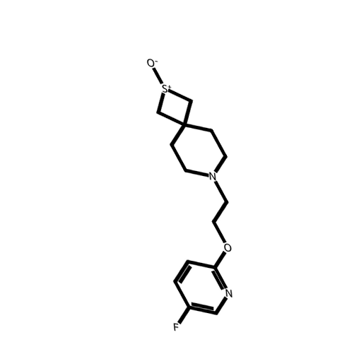 [O-][S+]1CC2(CCN(CCOc3ccc(F)cn3)CC2)C1